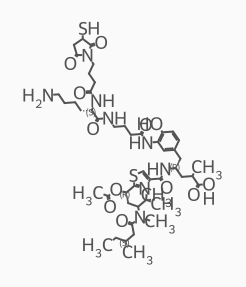 CC[C@H](C)CC(=O)N(C)C(C[C@@H](OC(C)=O)c1nc(C(=O)N[C@@H](Cc2ccc(O)c(NC(=O)CCCNC(=O)[C@H](CCCCN)NC(=O)CCCN3C(=O)CC(S)C3=O)c2)CC(C)C(=O)O)cs1)C(C)C